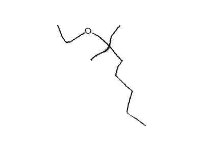 CCCCCC(C)(C)OCC